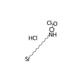 C[Si](C)(C)CCCCCCCCCCCCCCNc1ccc(C(=O)Cl)cc1.Cl